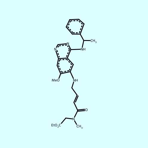 CCOC(=O)CN(C)C(=O)C=CCNc1cc2c(NC(C)c3ccccc3)ncnc2cc1OC